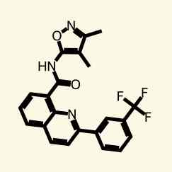 Cc1noc(NC(=O)c2cccc3ccc(-c4cccc(C(F)(F)F)c4)nc23)c1C